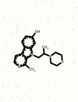 Cc1nccc2c3ccc(O)cc3n(CC(C)N3CCOCC3)c12